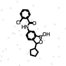 O=C(Nc1ccc2c(c1)B(O)OC2C1CCCC1)c1ccccc1Cl